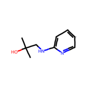 CC(C)(O)CNc1cc[c]cn1